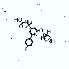 CC(C)(NC(=O)O)c1cc(OC2[C@H]3CNC[C@@H]23)nc(-c2ccc(F)cc2)c1